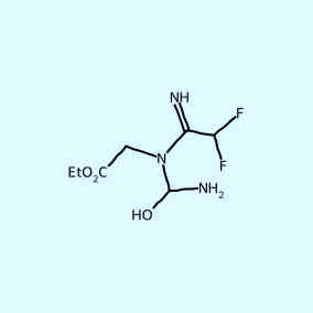 CCOC(=O)CN(C(=N)C(F)F)C(N)O